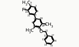 Cc1ccc(-c2cc(C)c(OCc3ccccc3)c(C)c2)cc1F